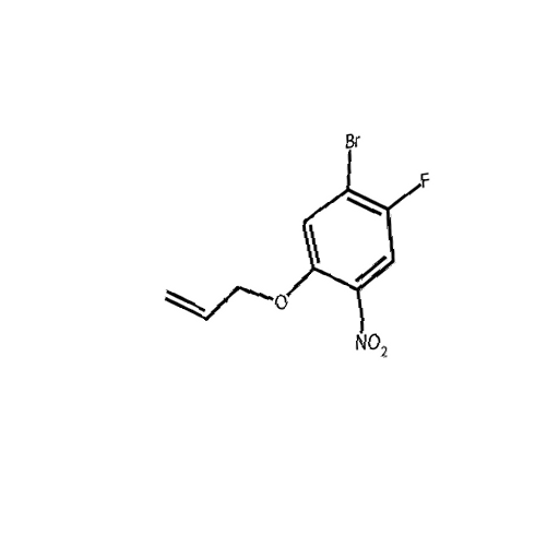 C=CCOc1cc(Br)c(F)cc1[N+](=O)[O-]